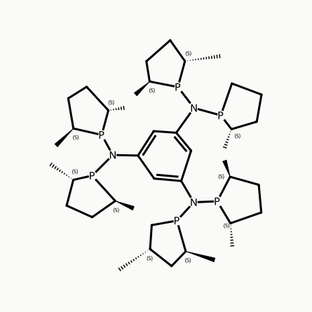 C[C@H]1C[C@H](C)P(N(c2cc(N(P3CCC[C@@H]3C)P3[C@@H](C)CC[C@@H]3C)cc(N(P3[C@@H](C)CC[C@@H]3C)P3[C@@H](C)CC[C@@H]3C)c2)P2[C@@H](C)CC[C@@H]2C)C1